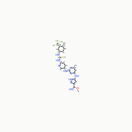 COC(=N)c1cc(Nc2cc(C)nc(Nc3ccc(NC(=S)Nc4ccc(Cl)c(C(F)(F)F)c4)nc3)n2)[nH]n1